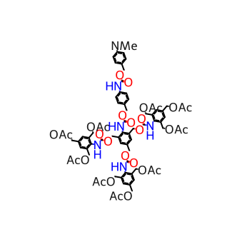 CNc1ccc(COC(=O)Nc2ccc(COC(=O)Nc3c(COC(=O)Nc4c(COC(C)=O)cc(COC(C)=O)cc4COC(C)=O)cc(COC(=O)Nc4c(COC(C)=O)cc(COC(C)=O)cc4COC(C)=O)cc3COC(=O)Nc3c(COC(C)=O)cc(COC(C)=O)cc3COC(C)=O)cc2)cc1